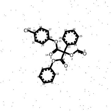 O=[C]OC(C(=O)Oc1ccccc1)(C(=O)Oc1ccc(Cl)cc1)c1ccccc1